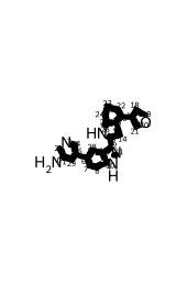 Nc1cncc(-c2ccc3[nH]nc(-c4cc5c(-c6ccoc6)cccc5[nH]4)c3c2)c1